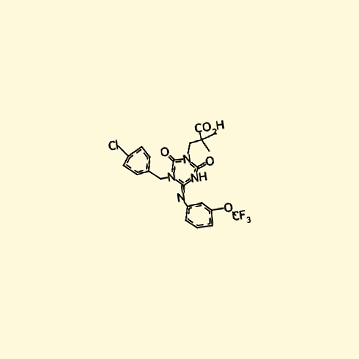 CC(C)(Cn1c(=O)[nH]/c(=N\c2cccc(OC(F)(F)F)c2)n(Cc2ccc(Cl)cc2)c1=O)C(=O)O